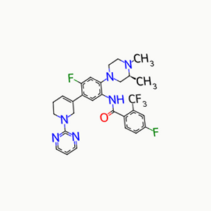 C[C@H]1CN(c2cc(F)c(C3=CCCN(c4ncccn4)C3)cc2NC(=O)c2ccc(F)cc2C(F)(F)F)CCN1C